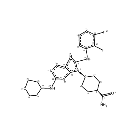 NC(=O)[C@H]1CC[C@@H](n2c(Nc3cccc(F)c3F)nc3cnc(NC4CCOCC4)nc32)CC1